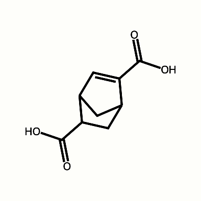 O=C(O)C1=CC2CC1CC2C(=O)O